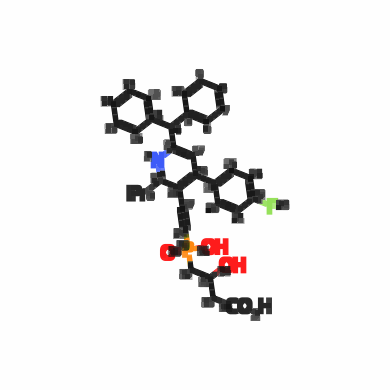 CC(C)c1nc(C(c2ccccc2)c2ccccc2)cc(-c2ccc(F)cc2)c1C#CP(=O)(O)CC(O)CC(=O)O